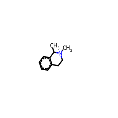 CC1c2ccccc2CCN1C